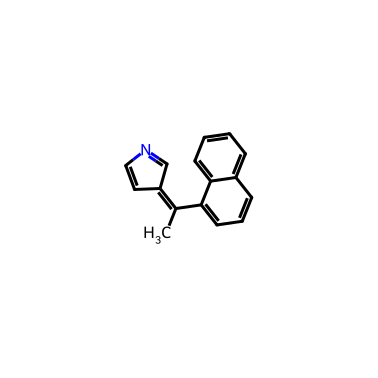 CC(=C1C=CN=C1)c1cccc2ccccc12